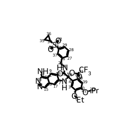 CCOc1cc(C(Nc2ccc3c(N)nncc3c2)(OC(=O)C(F)(F)F)C(=O)NCc2cccc(S(=O)(=O)C3CC3)c2)ccc1OC(C)C